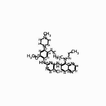 CCSN(C)c1c(Nc2nc(Nc3cc(CC)c(N4CCN(C)CC4)cc3OC)ncc2Cl)ccc2nccnc12